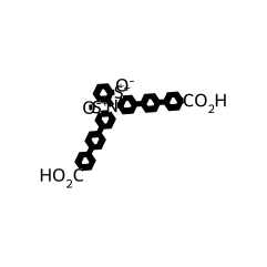 O=C(O)c1ccc(-c2ccc(-c3ccc4c(c3)[S+]([O-])c3cccc5c3N4c3ccc(-c4ccc(-c6ccc(C(=O)O)cc6)cc4)cc3[S+]5[O-])cc2)cc1